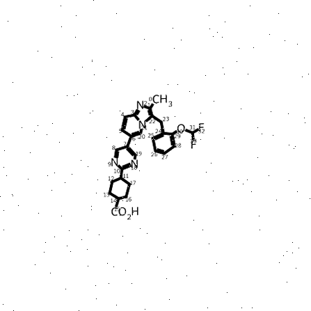 Cc1nc2ccc(-c3cnc(C4CCC(C(=O)O)CC4)nc3)cn2c1Cc1ccccc1OC(F)F